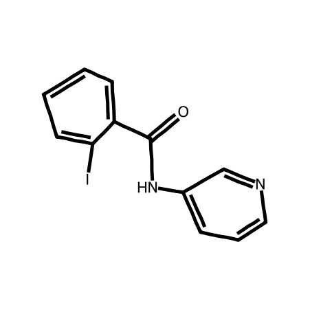 O=C(Nc1cccnc1)c1ccccc1I